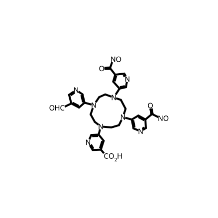 O=Cc1cncc(N2CCN(c3cncc(C(=O)O)c3)CCN(c3cncc(C(=O)N=O)c3)CCN(c3cncc(C(=O)N=O)c3)CC2)c1